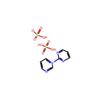 O=S(=O)(O)O.O=S(=O)([O-])O.c1cnc(-[n+]2cccnc2)nc1